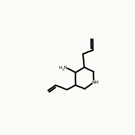 C=CCC1CNCC(CC=C)C1N